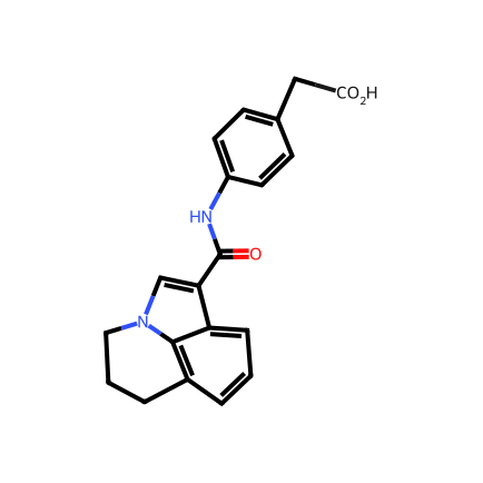 O=C(O)Cc1ccc(NC(=O)c2cn3c4c(cccc24)CCC3)cc1